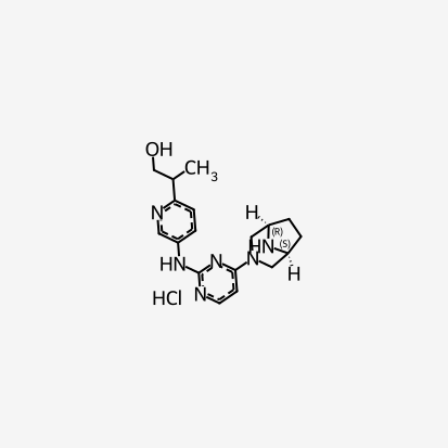 CC(CO)c1ccc(Nc2nccc(N3C[C@H]4CC[C@@H](C3)N4)n2)cn1.Cl